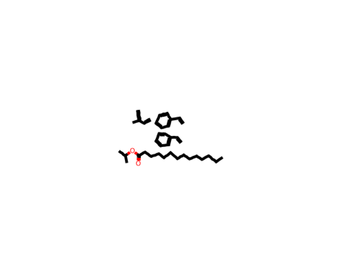 C=CC(=C)C.C=Cc1ccccc1.C=Cc1ccccc1.CCCCCCCCCCCCCC(=O)OC(C)C